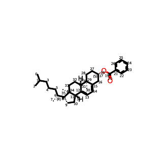 CC(C)CCC[C@@H](C)[C@H]1CC[C@H]2C3=CC=C4C[C@@H](OC(=O)c5ccccc5)CC[C@]4(C)[C@H]3CC[C@]12C